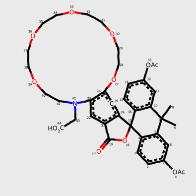 CC(=O)Oc1ccc2c(c1)C(C)(C)c1cc(OC(C)=O)ccc1C21OC(=O)c2cc3c(cc21)OCCOCCOCCOCCOCCN3CC(=O)O